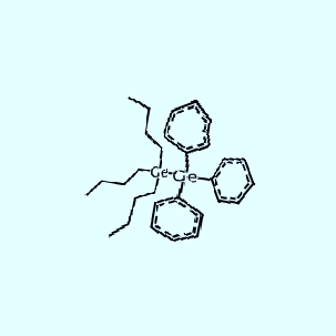 CCC[CH2][Ge]([CH2]CCC)([CH2]CCC)[Ge]([c]1ccccc1)([c]1ccccc1)[c]1ccccc1